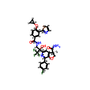 C[C@]1(C(N)=O)COc2c1cc([C@@](O)(CNC(=O)c1ccc(OC3CC3)c(-c3nccs3)c1)C(F)(F)F)nc2-c1ccc(F)cc1